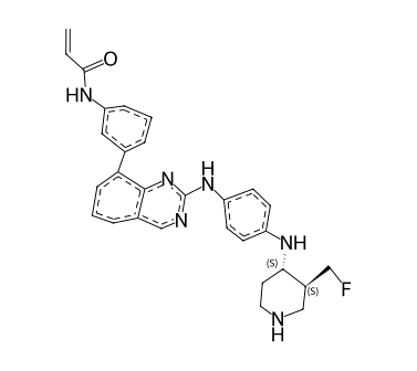 C=CC(=O)Nc1cccc(-c2cccc3cnc(Nc4ccc(N[C@H]5CCNC[C@@H]5CF)cc4)nc23)c1